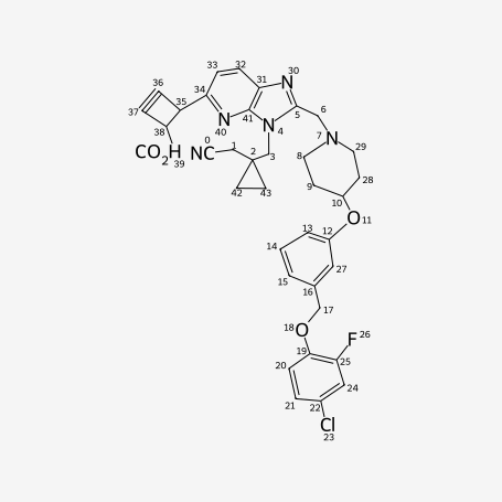 N#CCC1(Cn2c(CN3CCC(Oc4cccc(COc5ccc(Cl)cc5F)c4)CC3)nc3ccc(C4C#CC4C(=O)O)nc32)CC1